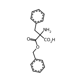 NC(Cc1ccccc1)(C(=O)O)C(=O)OCc1ccccc1